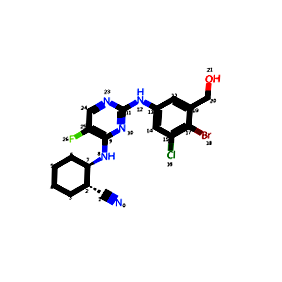 N#C[C@@H]1CCCC[C@H]1Nc1nc(Nc2cc(Cl)c(Br)c(CO)c2)ncc1F